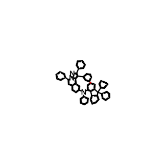 c1ccc(-c2nn3c(-c4ccccc4)cc4ccc(N(c5ccccc5)c5cccc6c5-c5ccccc5C6(c5ccccc5)c5ccccc5)cc4c3c2-c2ccccc2)cc1